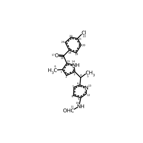 Cc1cc(C(C)c2ccc(NC=O)cn2)[nH]c1C(=O)c1ccc(Cl)cc1